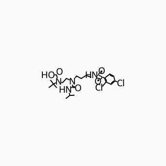 CC(C)NC(=O)N(CCCCNS(=O)(=O)c1ccc(Cl)cc1Cl)CCN(C(=O)O)C(C)(C)C